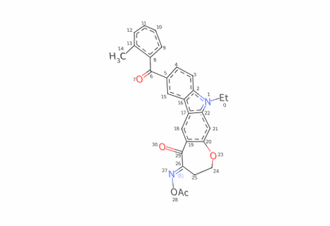 CCn1c2ccc(C(=O)c3ccccc3C)cc2c2cc3c(cc21)OCC/C(=N\OC(C)=O)C3=O